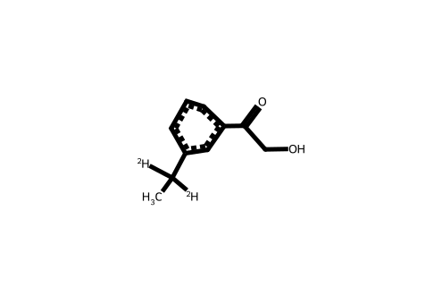 [2H]C([2H])(C)c1cccc(C(=O)CO)c1